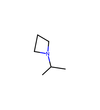 CC(C)N1CCC1